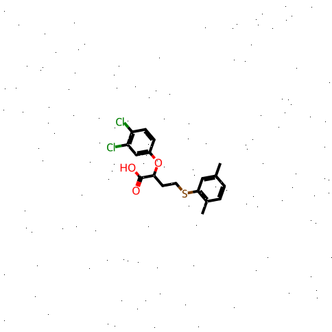 Cc1ccc(C)c(SCCC(Oc2ccc(Cl)c(Cl)c2)C(=O)O)c1